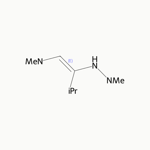 CN/C=C(/NNC)C(C)C